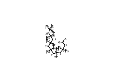 CC(C)CC(F)(F)CC(F)(F)CC(F)(F)CC(F)(F)CC(F)(F)CC(F)(F)F